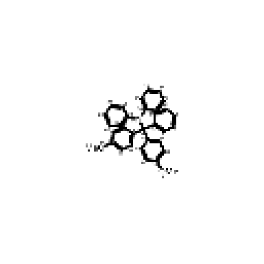 COc1ccc(C(c2ccccc2)(c2ccc(OC)cc2)N(c2ccccc2)c2ccccc2)cc1